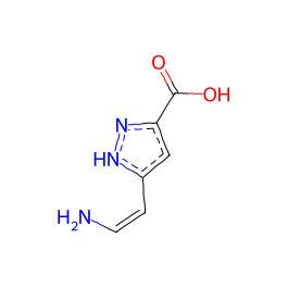 N/C=C\c1cc(C(=O)O)n[nH]1